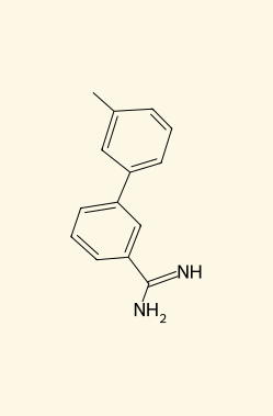 Cc1cccc(-c2cccc(C(=N)N)c2)c1